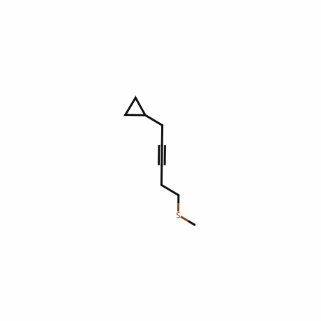 CSCCC#CCC1[CH]C1